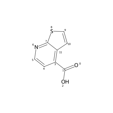 O=C(O)c1ccnc2sccc12